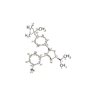 CC(C)[C@@H]1CN(c2ccc(C(C)(C)C)cc2)C(c2cccc(Br)c2)=N1